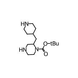 CC(C)(C)OC(=O)N1CCNCC1CC1CCNCC1